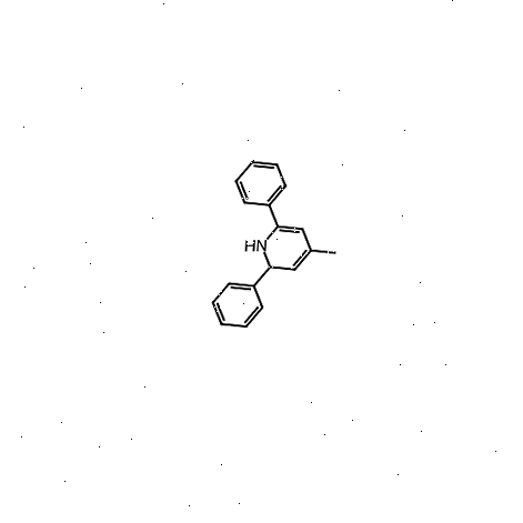 CC1=CC(c2ccccc2)NC(c2ccccc2)=C1